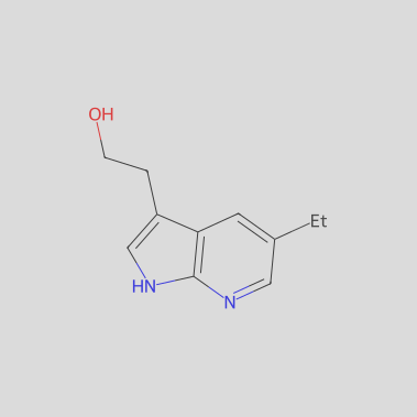 CCc1cnc2[nH]cc(CCO)c2c1